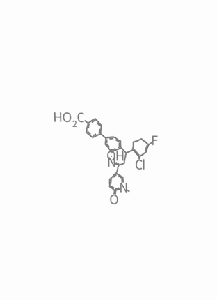 Cn1cc(/C(CC(C2=C(Cl)C=C(F)CC2)c2ccc(-c3ccc(C(=O)O)cc3)cc2)=N/O)ccc1=O